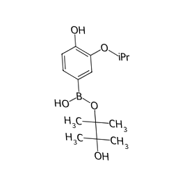 CC(C)Oc1cc(B(O)OC(C)(C)C(C)(C)O)ccc1O